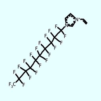 C=C[n+]1ccn(C(F)(F)C(F)(F)C(F)(F)C(F)(F)C(F)(F)C(F)(F)C(F)(F)C(F)(F)C(F)(F)C(F)(F)F)c1